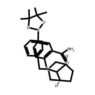 CC1(C)OB(c2ccc(OC3[C@@H]4CC[C@H]3CN(Cc3ccccc3)C4)c(C(N)=O)c2)OC1(C)C